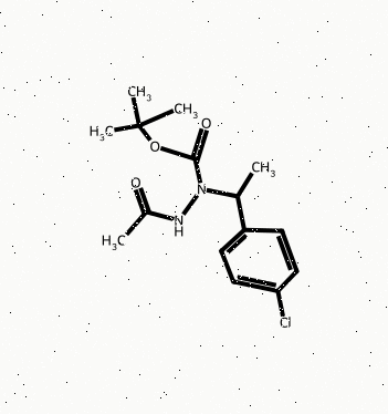 CC(=O)NN(C(=O)OC(C)(C)C)C(C)c1ccc(Cl)cc1